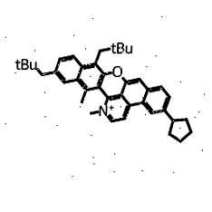 Cc1c2c(c(CC(C)(C)C)c3ccc(CC(C)(C)C)cc13)Oc1cc3ccc(C4CCCC4)cc3c3cc[n+](C)c-2c13